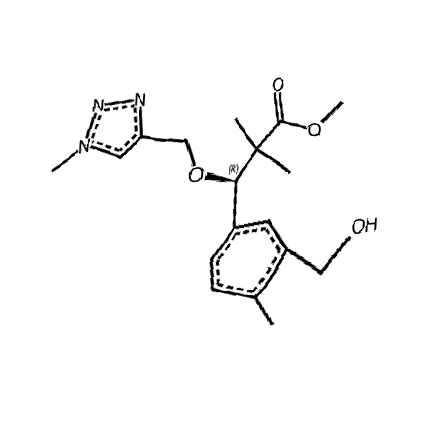 COC(=O)C(C)(C)[C@H](OCc1cn(C)nn1)c1ccc(C)c(CO)c1